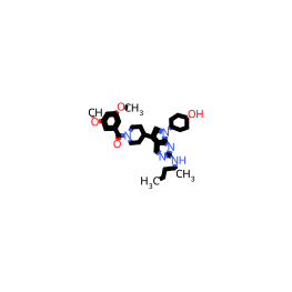 CCCC(C)Nc1ncc2c(C3CCN(C(=O)c4cc(OC)cc(OC)c4)CC3)cn(C3CCC(O)CC3)c2n1